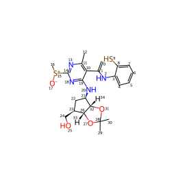 C=C(Nc1ccccc1S)c1c(C)nc([S+](C)[O-])nc1N[C@@H]1C[C@H](CO)[C@H]2OC(C)(C)O[C@H]21